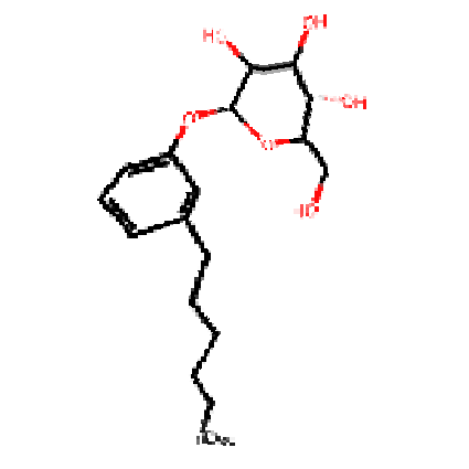 CCCCCCCCCCCCCCCc1cccc(O[C@@H]2OC(CO)[C@@H](O)C(O)C2O)c1